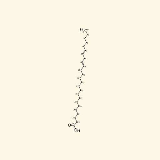 CCCCCC=CCC=CCCCCCCCCCCCCCCC(=O)O